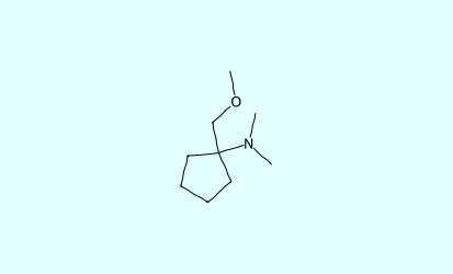 COCC1(N(C)C)CCCC1